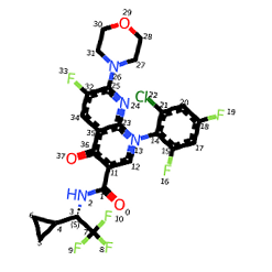 O=C(N[C@@H](C1CC1)C(F)(F)F)c1cn(-c2c(F)cc(F)cc2Cl)c2nc(N3CCOCC3)c(F)cc2c1=O